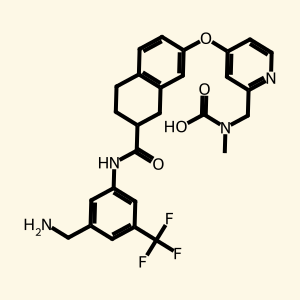 CN(Cc1cc(Oc2ccc3c(c2)CC(C(=O)Nc2cc(CN)cc(C(F)(F)F)c2)CC3)ccn1)C(=O)O